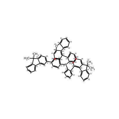 CC1(C)c2ccccc2-c2cc(-c3ccc(N(c4ccccc4-c4cccc5c4-c4ccccc4C5(C)C)c4ccccc4-c4cccc5oc6ccccc6c45)cc3)ccc21